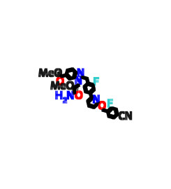 COC(=O)c1ccc2nc(Cc3ccc(-c4cccc(OCc5ccc(C#N)cc5F)n4)cc3F)n(C[C@H](OC)C(N)=O)c2c1